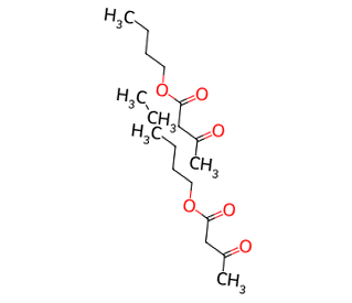 CC.CCCCOC(=O)CC(C)=O.CCCCOC(=O)CC(C)=O